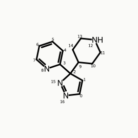 C1=CC(c2ccccn2)(C2CCNCC2)N=N1